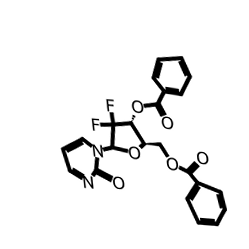 O=C(OC[C@H]1OC(n2cccnc2=O)C(F)(F)[C@@H]1OC(=O)c1ccccc1)c1ccccc1